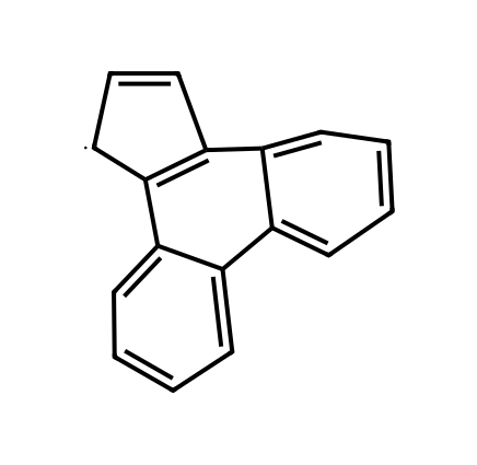 [CH]1C=Cc2c1c1ccccc1c1ccccc21